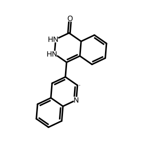 O=C1NNC(c2[c]nc3ccccc3c2)=C2C=CC=CC12